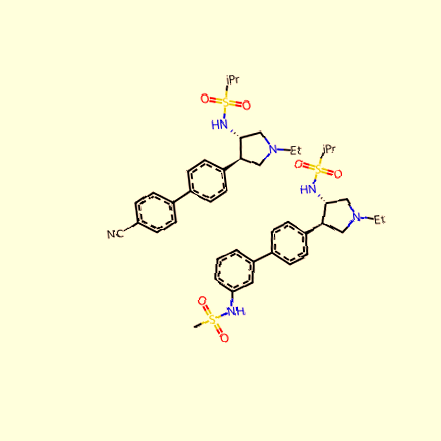 CCN1C[C@@H](NS(=O)(=O)C(C)C)[C@H](c2ccc(-c3ccc(C#N)cc3)cc2)C1.CCN1C[C@@H](NS(=O)(=O)C(C)C)[C@H](c2ccc(-c3cccc(NS(C)(=O)=O)c3)cc2)C1